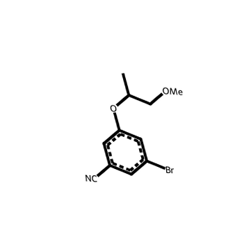 COCC(C)Oc1cc(Br)cc(C#N)c1